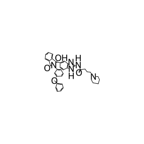 O=C(CCCN1CCCCC1)Nc1nc2cc(C3(O)c4ccccc4C(=O)N3c3cccc(Oc4ccccc4)c3)ccc2[nH]1